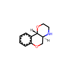 c1ccc2c(c1)OC[C@@H]1NCCO[C@@H]21